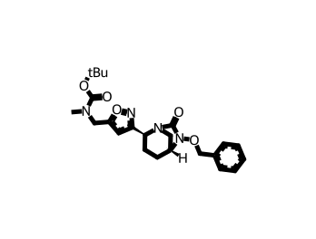 CN(Cc1cc([C@@H]2CC[C@@H]3CN2C(=O)N3OCc2ccccc2)no1)C(=O)OC(C)(C)C